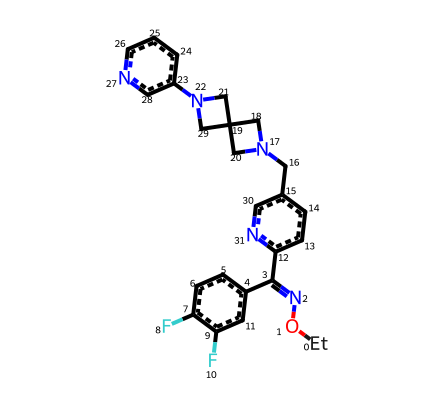 CCON=C(c1ccc(F)c(F)c1)c1ccc(CN2CC3(C2)CN(c2cccnc2)C3)cn1